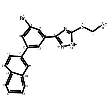 CC(=O)CSc1nc(-c2cc(Br)cc(-c3ccc4ccccc4c3)c2)n[nH]1